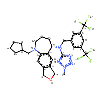 Cn1nnc(N(Cc2cc(C(F)(F)F)cc(C(F)(F)F)c2)[C@H]2CCCN(CC3CCCC3)c3cc4c(cc32)COC4)n1